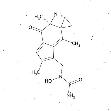 CC1=C(CN(O)C(N)=O)C2=C(C)C3(CC3)[C@](C)(N)C(=O)C2=C1